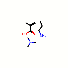 C=C(C)C(=O)O.CCCN.CN(C)C